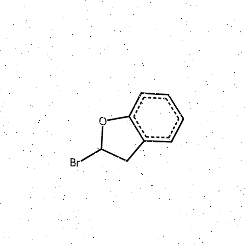 Br[C]1Cc2ccccc2O1